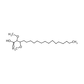 CCCCCCCCCCCCCCCC(OC)C(OC)C(=O)O